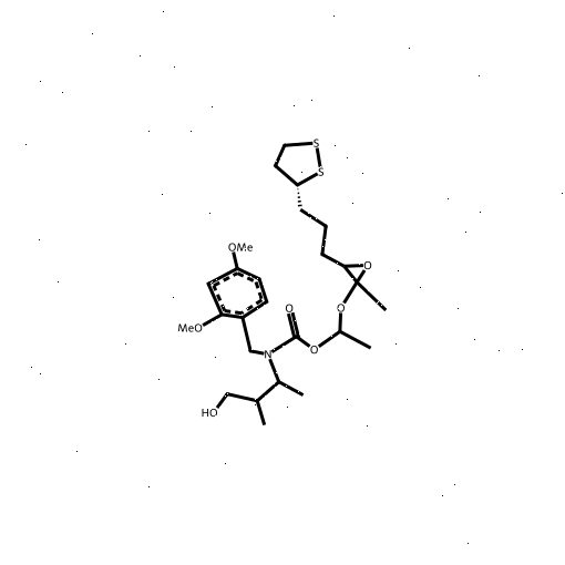 COc1ccc(CN(C(=O)OC(C)OC2(C)OC2CCC[C@@H]2CCSS2)C(C)C(C)CO)c(OC)c1